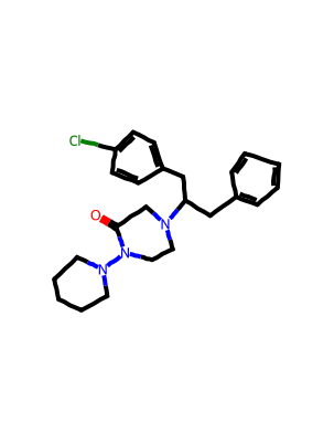 O=C1CN(C(Cc2ccccc2)Cc2ccc(Cl)cc2)CCN1N1CCCCC1